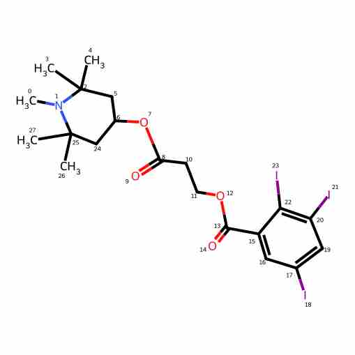 CN1C(C)(C)CC(OC(=O)CCOC(=O)c2cc(I)cc(I)c2I)CC1(C)C